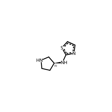 c1csc(N[C@H]2CCNC2)n1